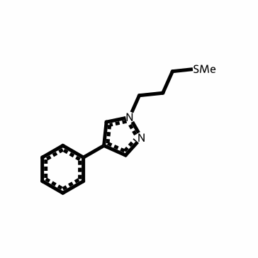 CSCCCn1cc(-c2ccccc2)cn1